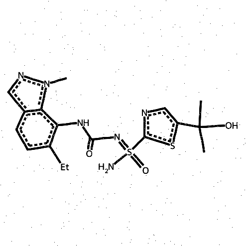 CCc1ccc2cnn(C)c2c1NC(=O)N=S(N)(=O)c1ncc(C(C)(C)O)s1